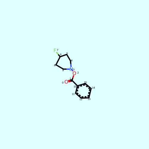 O=C(ON1CCC(F)CC1)c1ccccc1